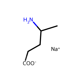 CC(N)CCC(=O)[O-].[Na+]